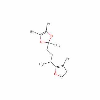 CC(C)C1=C(C(C)CCC2(C)OC(C(C)C)=C(C(C)C)O2)OCC1